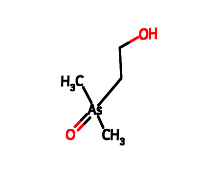 C[As](C)(=O)CCO